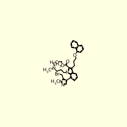 CCOC(=O)c1c(CCCOc2cccc3ccccc23)c2cccc(-c3cnn(C)c3CBr)c2n1CCCN(C)C